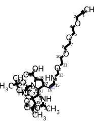 C#CCOCCOCCOCCOCN/C=C\[C@@H]1C[C@H](C(=O)O)N(C(=O)OC(C)(C)C)[C@H]1[C@@H](NC(C)=O)C(C)(CCC)OC